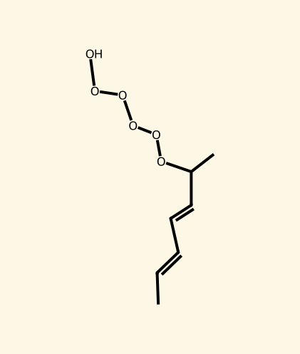 C/C=C/C=C/C(C)OOOOOO